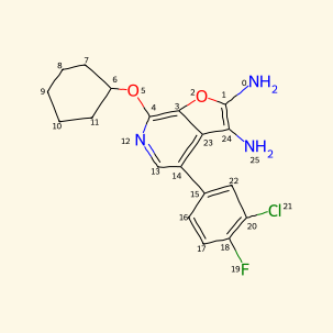 Nc1oc2c(OC3CCCCC3)ncc(-c3ccc(F)c(Cl)c3)c2c1N